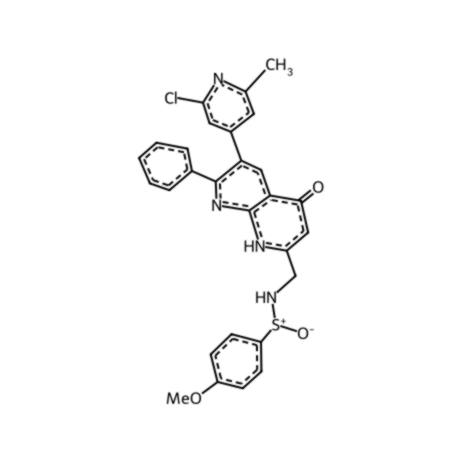 COc1ccc([S+]([O-])NCc2cc(=O)c3cc(-c4cc(C)nc(Cl)c4)c(-c4ccccc4)nc3[nH]2)cc1